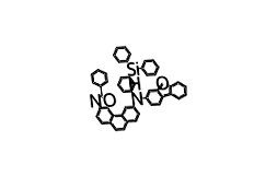 c1ccc(-c2nc3ccc4ccc5ccc(N(c6cccc([SiH](c7ccccc7)c7ccccc7)c6)c6ccc7c(c6)oc6ccccc67)cc5c4c3o2)cc1